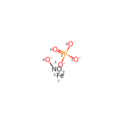 O=P([O-])([O-])[O-].O=[N+]([O-])[O-].[Fe]